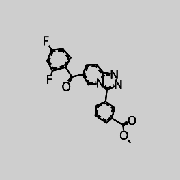 COC(=O)c1cccc(-c2nnc3ccc(C(=O)c4ccc(F)cc4F)cn23)c1